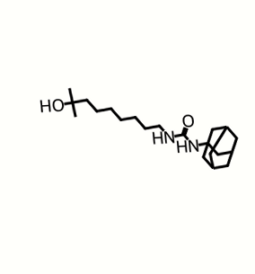 CC(C)(O)CCCCCCCNC(=O)NC12CC3CC(CC(C3)C1)C2